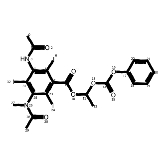 CC(=O)Nc1c(I)c(C(=O)OC(C)OC(=O)Oc2ccccc2)c(I)c(N(C)C(C)=O)c1I